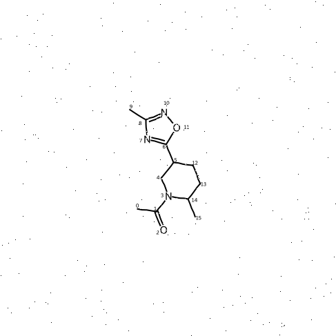 CC(=O)N1CC(c2nc(C)no2)CCC1C